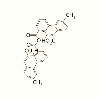 Cc1ccc2cc(C(=O)O)c3c(C(=O)OC(=O)c4cccc5c4c(C(=O)O)cc4ccc(C)cc45)cccc3c2c1